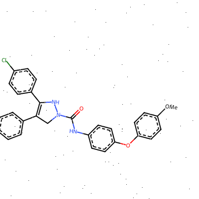 COc1ccc(Oc2ccc(NC(=O)N3CC(c4ccccc4)=C(c4ccc(Cl)cc4)N3)cc2)cc1